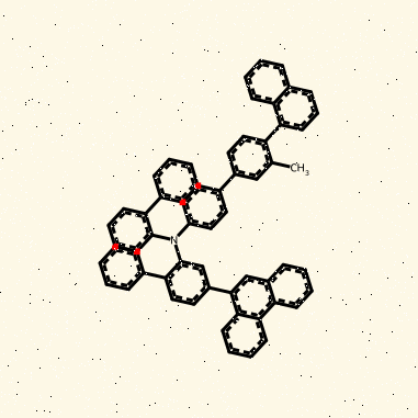 Cc1cc(-c2ccc(N(c3ccccc3-c3ccccc3)c3cc(-c4cc5ccccc5c5ccccc45)ccc3-c3ccccc3)cc2)ccc1-c1cccc2ccccc12